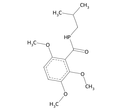 COc1ccc(OC)c(C(=O)PCC(C)C)c1OC